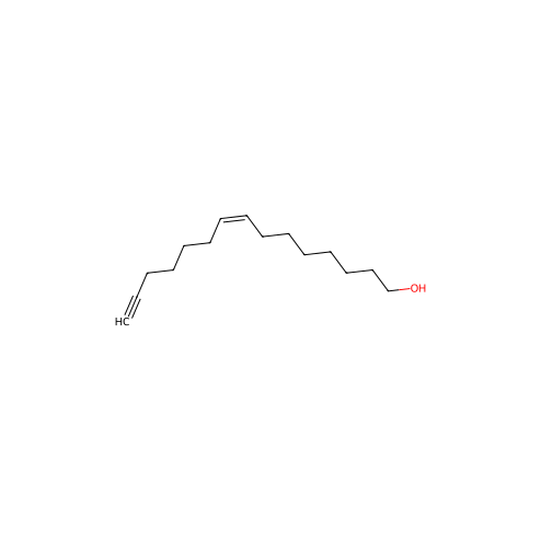 C#CCCCC/C=C\CCCCCCCO